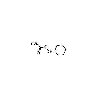 CCCCC(=O)OOC1CCCCC1